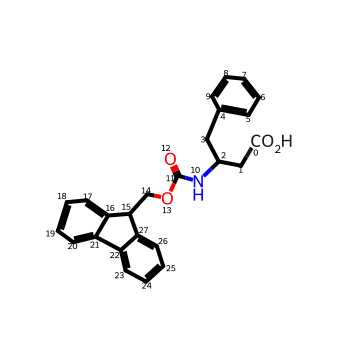 O=C(O)CC(Cc1ccccc1)NC(=O)OCC1c2ccccc2-c2ccccc21